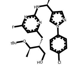 C[C@H](Nc1nc(F)cc(C[C@H](CO)[C@@H](C)OC(C)(C)C)n1)c1cnn(-c2ccc(Cl)cc2)c1